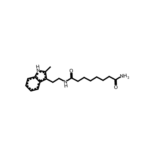 Cc1[nH]c2ccccc2c1CCNC(=O)CCCCCCC(N)=O